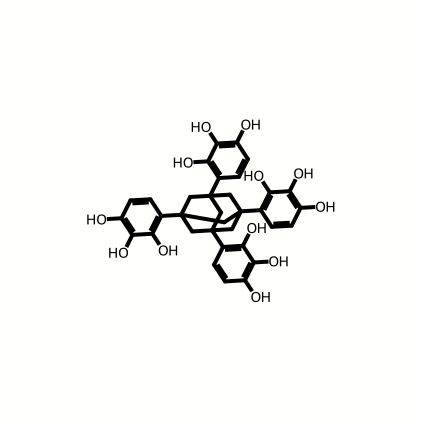 Oc1ccc(C23CC4(c5ccc(O)c(O)c5O)CC(c5ccc(O)c(O)c5O)(C2)CC(c2ccc(O)c(O)c2O)(C3)C4)c(O)c1O